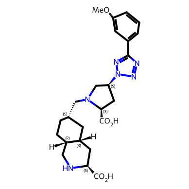 COc1cccc(-c2nnn([C@H]3C[C@@H](C(=O)O)N(C[C@H]4CC[C@H]5CN[C@H](C(=O)O)C[C@H]5C4)C3)n2)c1